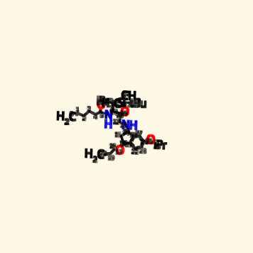 C=CCCCC(=O)N[C@@H](CC(C)C)[C@H](CN[C@H]1C[C@@H](OCC=C)c2ccc(OC(C)C)cc21)O[Si](C)(C)C(C)(C)C